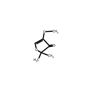 COC1=COC(C)(C)C1=O